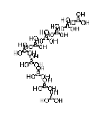 OB(O)O.OB(O)O.OB(O)O.OB(O)O.OB(O)O.OB(O)O.OB(O)O.OB(O)O.OB(O)O.OB(O)O